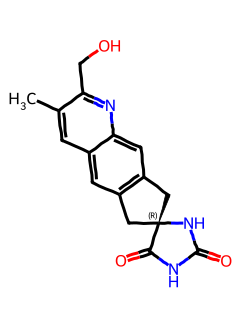 Cc1cc2cc3c(cc2nc1CO)C[C@@]1(C3)NC(=O)NC1=O